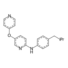 CC(C)Cc1ccc(Nc2ccc(Oc3ccncc3)cn2)cc1